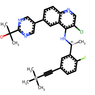 C[C@@H](Nc1c(Cl)cnc2ccc(-c3cnc(C(C)(C)O)nc3)cc12)c1cc(C#C[Si](C)(C)C)ccc1F